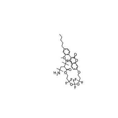 CCCCCc1ccc(-c2cc3ccc(OCCC(F)(F)OC(F)(F)OC(F)(F)CCOC(=O)C(CC(C)(C)N)C(C)(C)N)cc3oc2=O)c(OC)c1